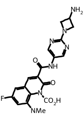 CNc1cc(F)cc2cc(C(=O)Nc3cnc(N4CC(N)C4)nc3)c(=O)n(C(=O)O)c12